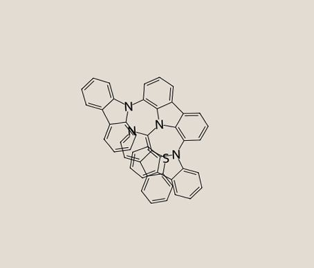 c1ccc2c(c1)sc1c(-n3c4c(-n5c6ccccc6c6ccccc65)cccc4c4cccc(-n5c6ccccc6c6ccccc65)c43)nccc12